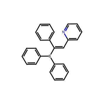 C(=C(B(c1ccccc1)c1ccccc1)c1ccccc1)c1ccccn1